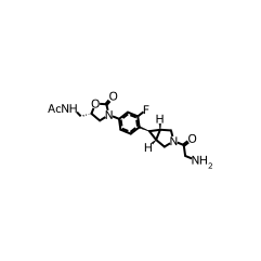 CC(=O)NC[C@H]1CN(c2ccc([C@H]3[C@@H]4CN(C(=O)CN)C[C@@H]43)c(F)c2)C(=O)O1